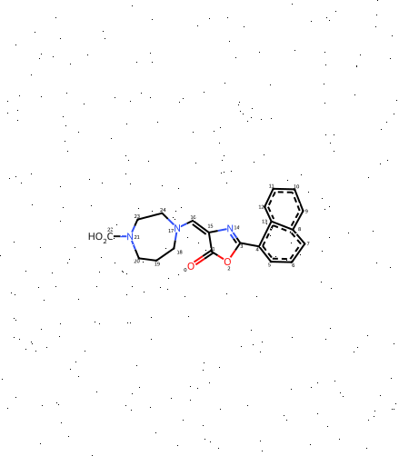 O=C1OC(c2cccc3ccccc23)=N/C1=C/N1CCCN(C(=O)O)CC1